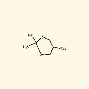 CC1(S)SCC(S)CS1